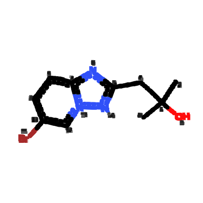 CC(C)(O)Cc1nc2ccc(Br)cn2n1